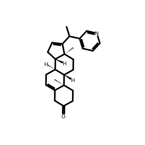 CC(C1=CC[C@H]2[C@@H]3CC=C4CC(=O)CC[C@]4(C)[C@H]3CC[C@]12C)c1cccnc1